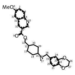 COc1ccc2ncc(C(=O)OCC3CCC(N(C)Cc4ccc5c(c4)OCCO5)CC3)cc2c1